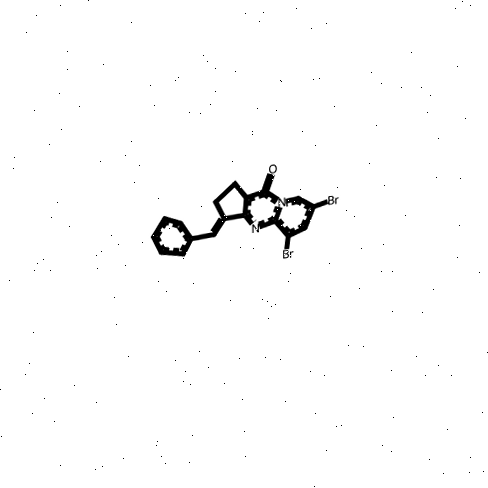 O=c1c2c(nc3c(Br)cc(Br)cn13)C(=Cc1ccccc1)CC2